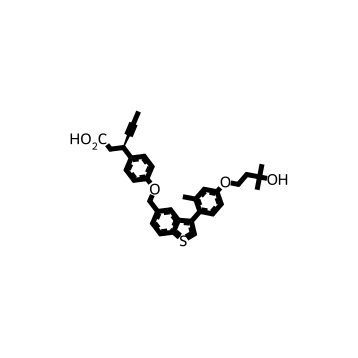 CC#C[C@H](CC(=O)O)c1ccc(OCc2ccc3scc(-c4ccc(OCCC(C)(C)O)cc4C)c3c2)cc1